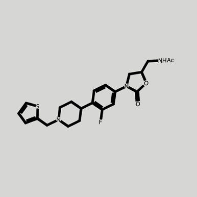 CC(=O)NCC1CN(c2ccc(C3CCN(Cc4cccs4)CC3)c(F)c2)C(=O)O1